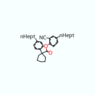 CCCCCCCc1ccc(C2(C(=O)Oc3ccc(CCCCCCC)cc3C#N)CCCCC2)cc1